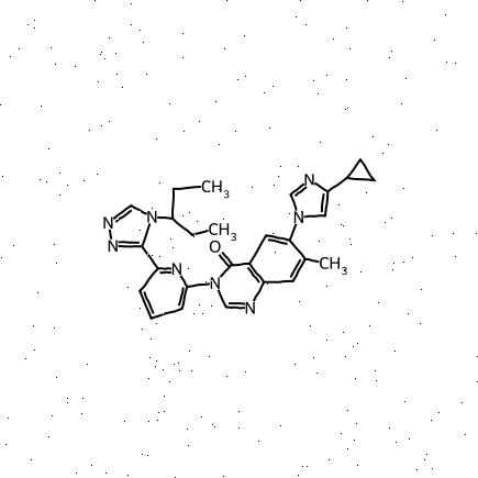 CCC(CC)n1cnnc1-c1cccc(-n2cnc3cc(C)c(-n4cnc(C5CC5)c4)cc3c2=O)n1